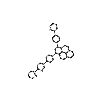 c1ccc(-c2ccc(-c3cc(-c4ccc(-c5ccc(-c6ccccn6)nc5)cc4)c4ccc5cccc6ccc3c4c56)cc2)nc1